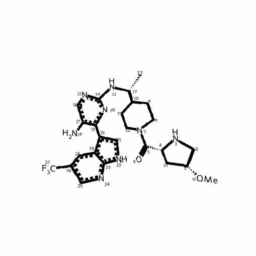 CO[C@H]1CN[C@@H](C(=O)N2CCC([C@@H](C)Nc3ncc(N)c(-c4c[nH]c5ncc(C(F)(F)F)cc45)n3)CC2)C1